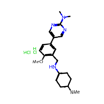 CNC1CCC(NCc2cc(-c3cnc(N(C)C)nc3)ccc2OC)CC1.Cl.Cl